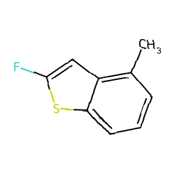 Cc1cccc2sc(F)cc12